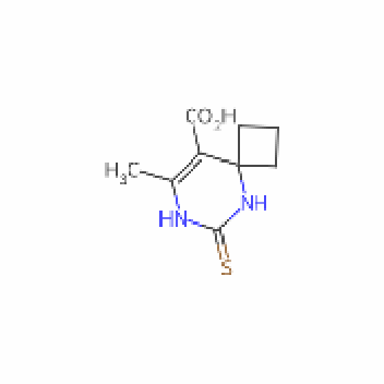 CC1=C(C(=O)O)C2(CCC2)NC(=S)N1